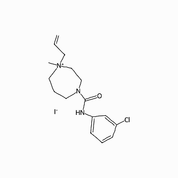 C=CC[N+]1(C)CCCN(C(=O)Nc2cccc(Cl)c2)CC1.[I-]